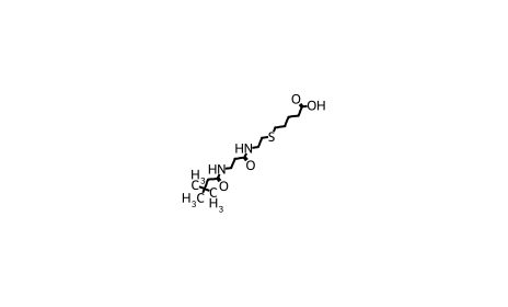 CC(C)(C)CC(=O)NCCC(=O)NCCSCCCCC(=O)O